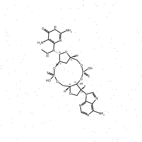 CNN(c1nc(N)[nH]c(=O)c1N)[C@@H]1O[C@@H]2COP(O)(=S)O[C@@H]3[C@@H](COP(O)(=S)O[C@@H]1C2)OC[C@@]3(F)n1cnc2c(N)ncnc21